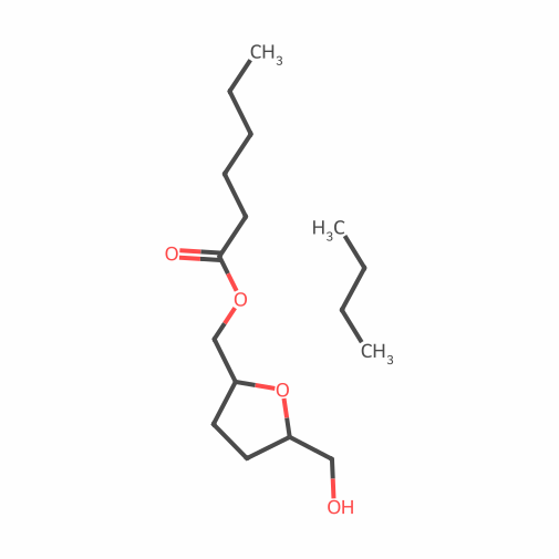 CCCC.CCCCCC(=O)OCC1CCC(CO)O1